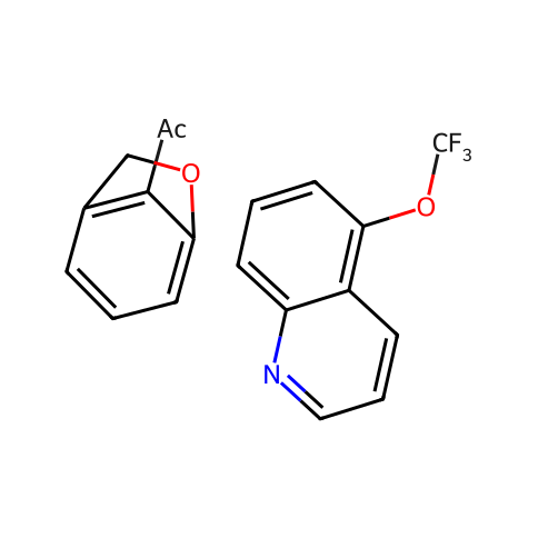 CC(=O)c1c2cccc1OC2.FC(F)(F)Oc1cccc2ncccc12